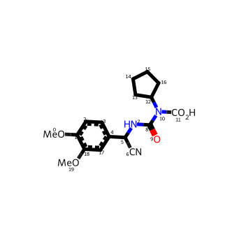 COc1ccc(C(C#N)NC(=O)N(C(=O)O)C2CCCC2)cc1OC